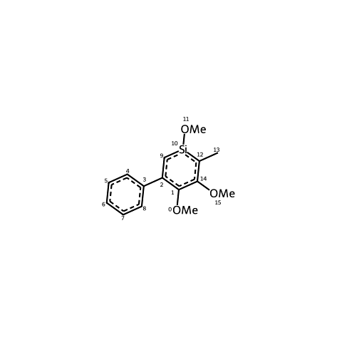 COc1c(-c2ccccc2)c[si](OC)c(C)c1OC